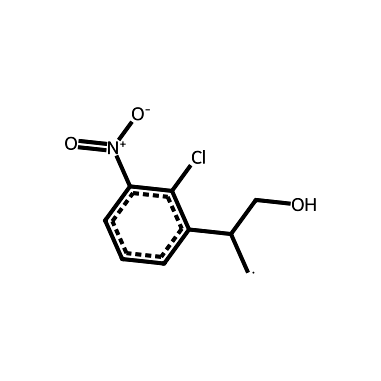 [CH2]C(CO)c1cccc([N+](=O)[O-])c1Cl